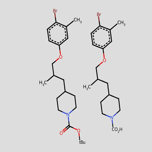 Cc1cc(OCC(C)CC2CCN(C(=O)O)CC2)ccc1Br.Cc1cc(OCC(C)CC2CCN(C(=O)OC(C)(C)C)CC2)ccc1Br